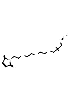 CC(C)(CN=[N+]=[N-])COCCOCCOCCN1C(=O)C=CC1=O